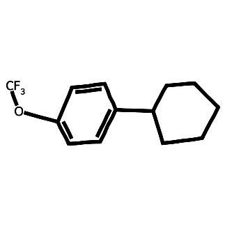 FC(F)(F)Oc1ccc(C2CCCCC2)cc1